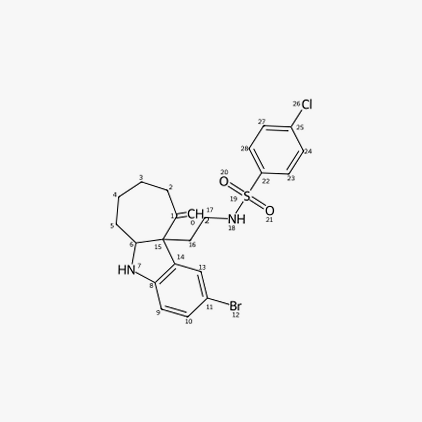 C=C1CCCCC2Nc3ccc(Br)cc3C12CCNS(=O)(=O)c1ccc(Cl)cc1